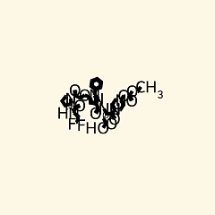 CCOC(=O)ON1CCN(C(=O)[C@H](CC(=O)O)NC(=O)c2cc(OCC(=O)N3CCC[C@H]3C(=O)NCC(F)F)n(-c3ccccc3)n2)CC1